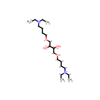 CCN(CC)CCCCOCC(O)C(O)COCCCCN(CC)CC